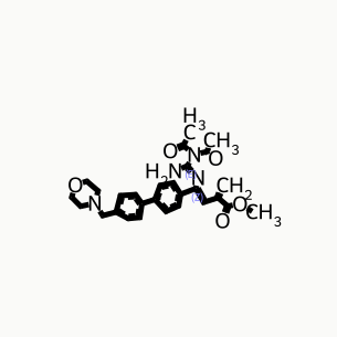 C=C(/C=C(\N=C(/N)N(C(C)=O)C(C)=O)c1ccc(-c2ccc(CN3CCOCC3)cc2)cc1)C(=O)OC